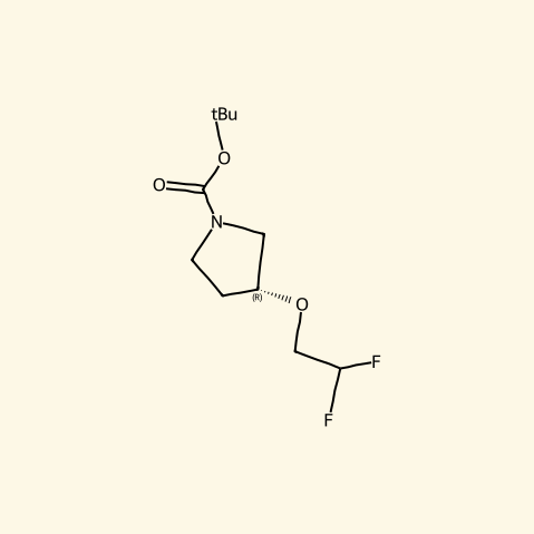 CC(C)(C)OC(=O)N1CC[C@@H](OCC(F)F)C1